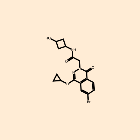 O=C(Cn1nc(OC2CC2)c2cc(Br)ccc2c1=O)NC1CC(O)C1